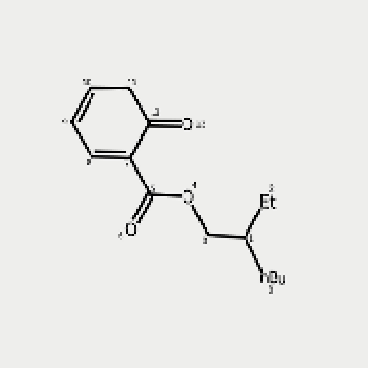 CCCCC(CC)COC(=O)C1=CC=CCC1=O